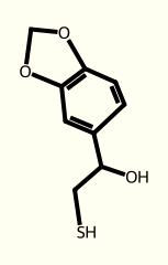 OC(CS)c1ccc2c(c1)OCO2